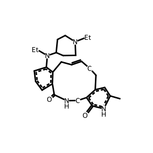 CCN1CCC(N(CC)c2cccc3c2C/C=C/CCc2cc(C)[nH]c(=O)c2CNC3=O)CC1